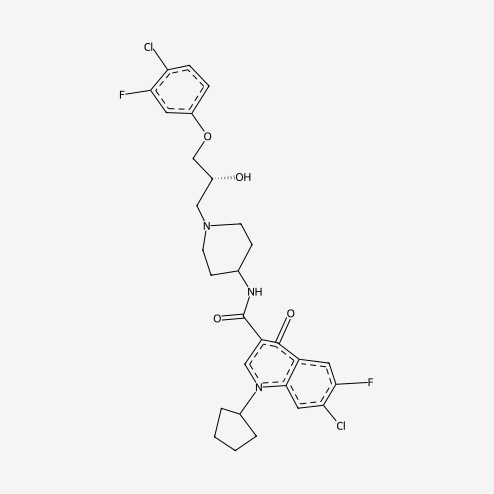 O=C(NC1CCN(C[C@@H](O)COc2ccc(Cl)c(F)c2)CC1)c1cn(C2CCCC2)c2cc(Cl)c(F)cc2c1=O